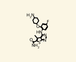 Cc1c(C(N)=O)sc2ncnc(Nc3ccc(F)cc3OC3CCC(N)CC3)c12